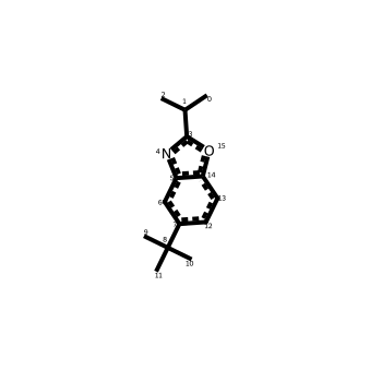 CC(C)c1nc2cc(C(C)(C)C)ccc2o1